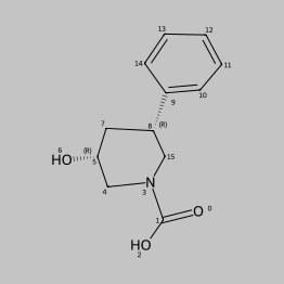 O=C(O)N1C[C@H](O)C[C@H](c2ccccc2)C1